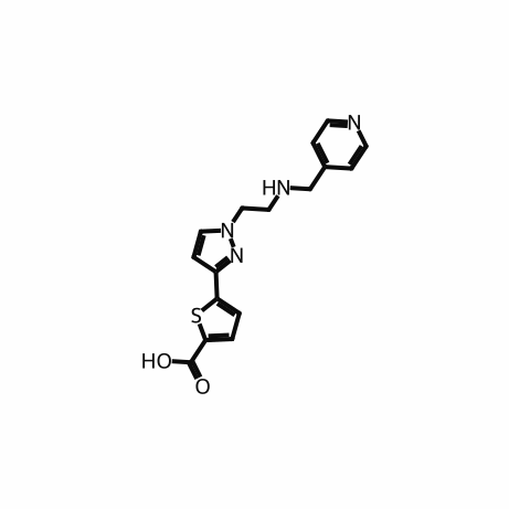 O=C(O)c1ccc(-c2ccn(CCNCc3ccncc3)n2)s1